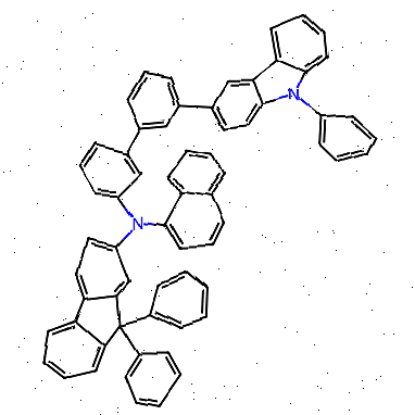 c1ccc(-n2c3ccccc3c3cc(-c4cccc(-c5cccc(N(c6ccc7c(c6)C(c6ccccc6)(c6ccccc6)c6ccccc6-7)c6cccc7ccccc67)c5)c4)ccc32)cc1